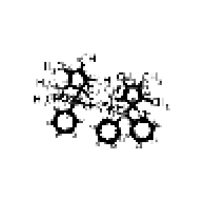 CC1=C(C)C(C)([Si](C)(C)c2ccccc2)[C]([Ti]([CH3])([CH3])[CH3])=C1C.CC1=C(C)C(C)([Si](C)(c2ccccc2)c2ccccc2)[C]([Ti]([CH3])([CH3])[CH3])=C1C